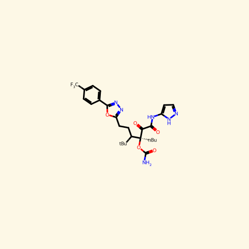 CCCC[C@@](OC(N)=O)(C(=O)C(=O)Nc1ccn[nH]1)C(CCc1nnc(-c2ccc(C(F)(F)F)cc2)o1)C(C)(C)C